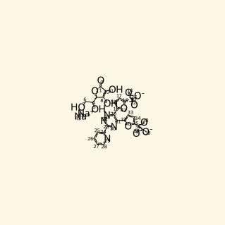 O=C1O[C@H]([C@@H](O)CO)C(O)=C1O.O=S(=O)([O-])c1ccc(-c2nnc(-c3ccccn3)nc2-c2ccc(S(=O)(=O)[O-])o2)o1.[Na+].[Na+]